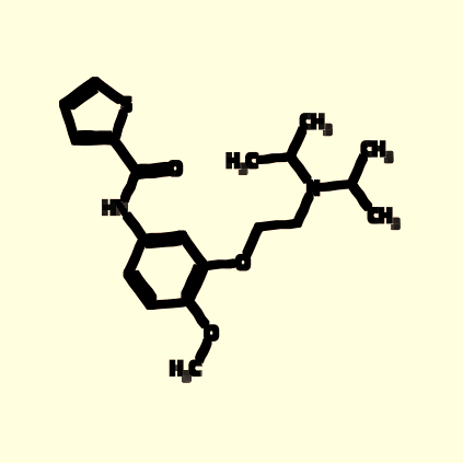 COc1ccc(NC(=O)c2cccs2)cc1OCCN(C(C)C)C(C)C